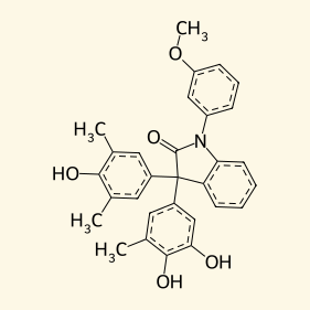 COc1cccc(N2C(=O)C(c3cc(C)c(O)c(C)c3)(c3cc(C)c(O)c(O)c3)c3ccccc32)c1